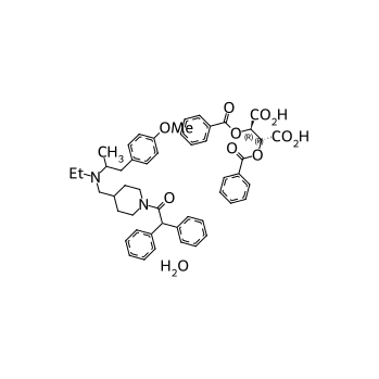 CCN(CC1CCN(C(=O)C(c2ccccc2)c2ccccc2)CC1)C(C)Cc1ccc(OC)cc1.O.O=C(O[C@@H](C(=O)O)[C@@H](OC(=O)c1ccccc1)C(=O)O)c1ccccc1